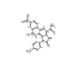 Cc1ccc(-n2c(=O)[nH]c3c(C(N)=O)nc(-c4ccc([N+](=O)[O-])cc4[N+](=O)[O-])nc32)cc1